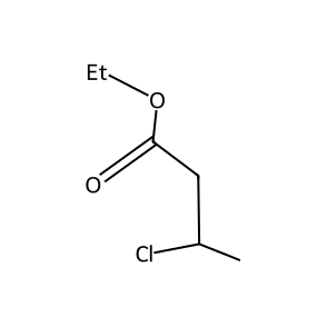 [CH2]COC(=O)CC(C)Cl